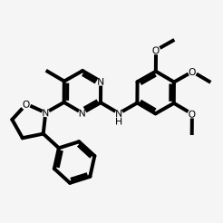 COc1cc(Nc2ncc(C)c(N3OCCC3c3ccccc3)n2)cc(OC)c1OC